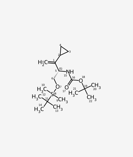 C=C(C1CC1)[C@@H](CO[Si](C)(C)C(C)(C)C)NC(=O)OC(C)(C)C